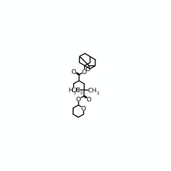 CCC(CC(C)(C)C(=O)OC1CCCCO1)C(=O)OC12CC3CC(C1)C(=O)C(C3)C2